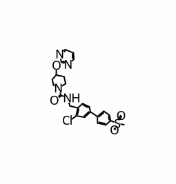 CS(=O)(=O)c1ccc(-c2ccc(CNC(=O)N3CCC(Oc4ncccn4)CC3)c(Cl)c2)cc1